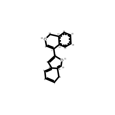 [C]1=C(C2=CC3=CC=CCC3=CO2)c2ccccc2CO1